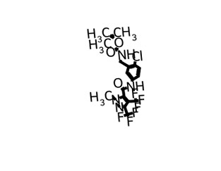 Cn1nc(C(F)(F)F)c(C(F)(F)F)c1C(=O)Nc1ccc(Cl)c(CNC(=O)OC(C)(C)C)c1